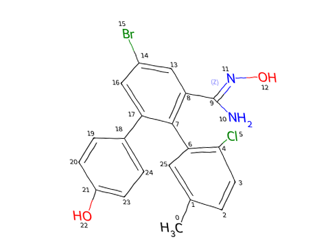 Cc1ccc(Cl)c(-c2c(/C(N)=N/O)cc(Br)cc2-c2ccc(O)cc2)c1